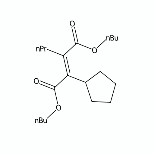 CCCCOC(=O)C(CCC)=C(C(=O)OCCCC)C1CCCC1